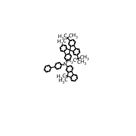 CC(C)(C)c1ccc2c(c1)C1(c3ccccc3-c3cc(N(c4ccc(-c5ccccc5)cc4)c4ccc5c(c4)C(C)(C)c4ccccc4-5)ccc31)c1cc(C(C)(C)C)ccc1-2